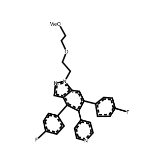 COCCOCCn1ncc2c(-c3ccc(F)cc3)c(-c3ccncc3)c(-c3ccc(F)cc3)cc21